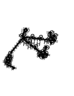 CC(=O)NC1C(OCCCCC(=O)NCCCNC(=O)CCOCC2C(OCCC(=O)NCCCNC(=O)CCCCOC3OC(COC(C)=O)C(OC(C)=O)C(OC(C)=O)C3NC(C)=O)C(COCCCCCCCCCCO[C@@H]3C=C4CC[C@H]5[C@@H]6CC[C@H]([C@H](C)CCCC(C)C)[C@H]6CC[C@@H]5[C@@]4(C)CC3)N2C(=O)OCc2ccccc2)OC(COC(C)=O)C(OC(C)=O)C1OC(C)=O